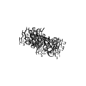 Cc1cc(N(c2c(C)c(C)c(C)c(C)c2C)c2c(C)c(C)c(C)c(C)c2C)cc(C)c1-c1c(C)c(C)c(N(c2c(C)c(C)c(C)c(C)c2C)c2c(C)c(C)c(C)c(C)c2C)c(C)c1C